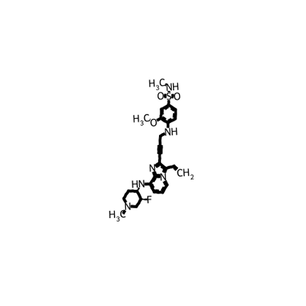 C=Cc1c(C#CCNc2ccc(S(=O)(=O)NC)cc2OC)nc2c(N[C@@H]3CCN(C)C[C@@H]3F)cccn12